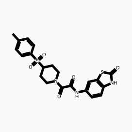 Cc1ccc(S(=O)(=O)C2CCN(C(=O)C(=O)Nc3ccc4[nH]c(=O)sc4c3)CC2)cc1